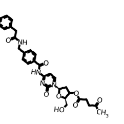 CC(=O)CCC(=O)OC1C[C@H](n2ccc(NC(=O)c3ccc(CNC(=O)Cc4ccccc4)cc3)nc2=O)O[C@@H]1CO